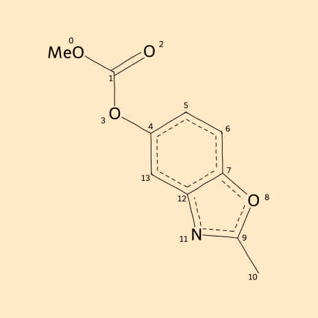 COC(=O)Oc1ccc2oc(C)nc2c1